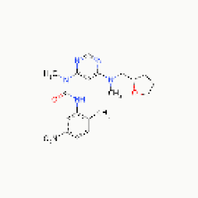 Cc1ccc([N+](=O)[O-])cc1NC(=O)N(C)c1cc(N(C)CC2CCCO2)ncn1